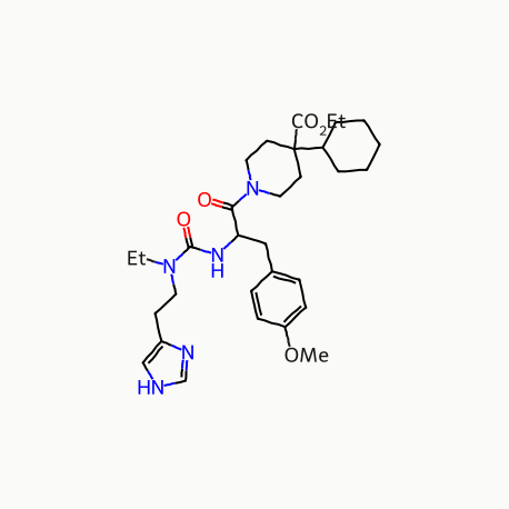 CCOC(=O)C1(C2CCCCC2)CCN(C(=O)C(Cc2ccc(OC)cc2)NC(=O)N(CC)CCc2c[nH]cn2)CC1